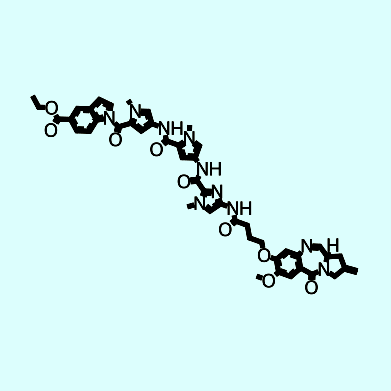 C=C1C[C@H]2C=Nc3cc(OCCCC(=O)Nc4cn(C)c(C(=O)Nc5cc(C(=O)Nc6cc(C(=O)n7ccc8cc(C(=O)OCC)ccc87)n(C)c6)n(C)c5)n4)c(OC)cc3C(=O)N2C1